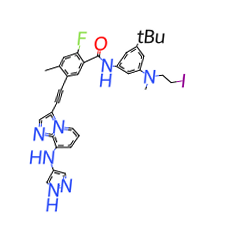 Cc1cc(F)c(C(=O)Nc2cc(N(C)CCI)cc(C(C)(C)C)c2)cc1C#Cc1cnc2c(Nc3cn[nH]c3)cccn12